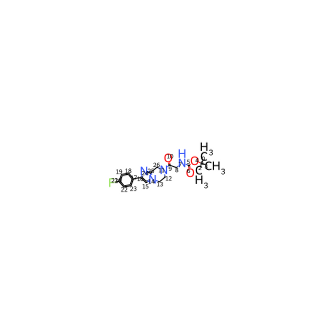 CC(C)(C)OC(=O)NCC(=O)N1CCn2cc(-c3ccc(F)cc3)nc2C1